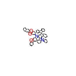 c1ccc(-n2c3ccccc3c3c(N(c4ccc5c(c4)Oc4cc6ccccc6cc4O5)c4ccc5c(c4)oc4ccccc45)cc(C4(c5ccccc5)c5ccccc5-c5ccccc54)cc32)cc1